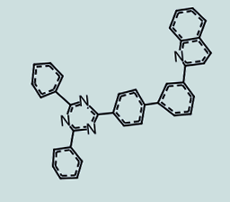 c1ccc(-c2nc(-c3ccccc3)nc(-c3ccc(-c4cccc(-c5ccc6ccccc6n5)c4)cc3)n2)cc1